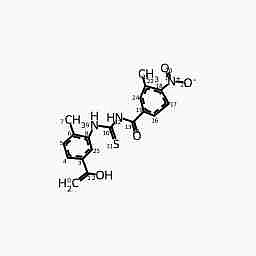 C=C(O)c1ccc(C)c(NC(=S)NC(=O)c2ccc([N+](=O)[O-])c(C)c2)c1